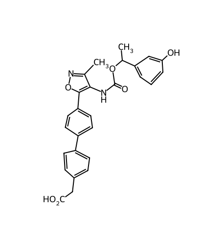 Cc1noc(-c2ccc(-c3ccc(CC(=O)O)cc3)cc2)c1NC(=O)OC(C)c1cccc(O)c1